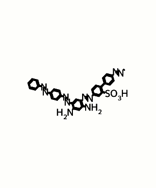 CN=Nc1ccc(-c2ccc(N=Nc3cc(N=Nc4ccc(N=Nc5ccccc5)cc4)c(N)cc3N)cc2S(=O)(=O)O)cc1